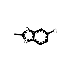 Cc1nc2ccc(Cl)cc2o1